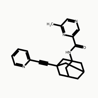 Cc1cncc(C(=O)NC23CC4CC(CC(C#Cc5ccccn5)(C4)C2)C3)n1